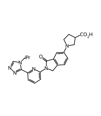 CC(C)n1cnnc1-c1cccc(N2Cc3ccc(N4CCC(C(=O)O)C4)cc3C2=O)n1